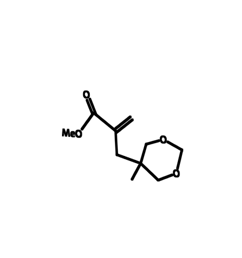 C=C(CC1(C)COCOC1)C(=O)OC